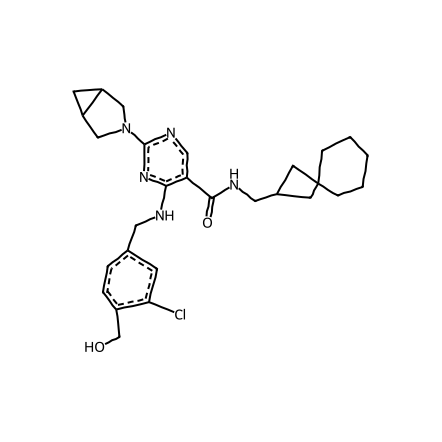 O=C(NCC1CC2(CCCCC2)C1)c1cnc(N2CC3CC3C2)nc1NCc1ccc(CO)c(Cl)c1